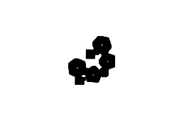 Brc1ccccc1C1CCC(OC2CCC(c3ccccc3Br)C2)C1